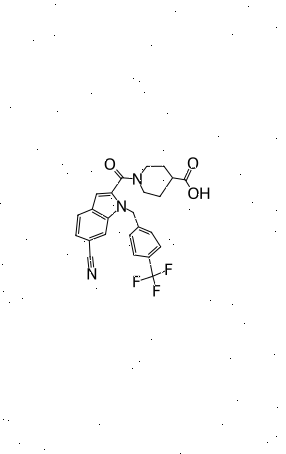 N#Cc1ccc2cc(C(=O)N3CCC(C(=O)O)CC3)n(Cc3ccc(C(F)(F)F)cc3)c2c1